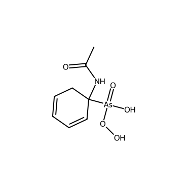 CC(=O)NC1([As](=O)(O)OO)C=CC=CC1